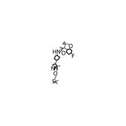 Cc1c(-c2ccc(NC(=O)[C@@H](C)C3c4ccc(F)cc4OCC34CC4)cc2)cnn1COCC[Si](C)(C)C